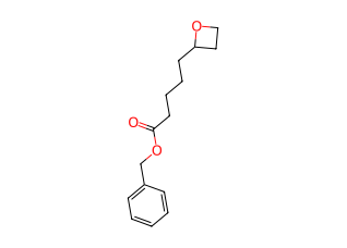 O=C(CCCCC1CCO1)OCc1ccccc1